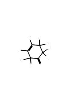 O=C1C(Cl)(Cl)C(Cl)=C(Cl)C(Cl)(Cl)C1(Cl)Cl